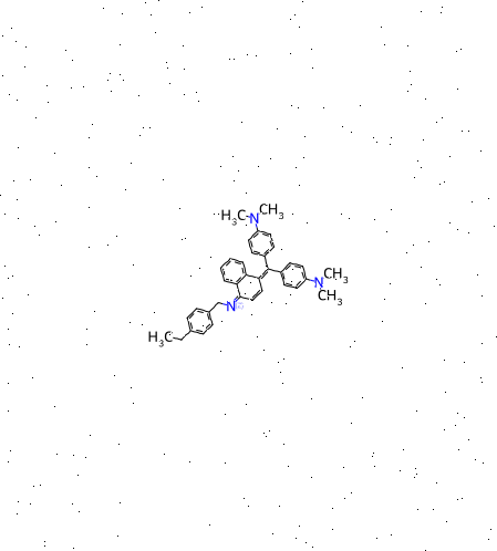 CCc1ccc(C/N=C2/C=CC(=C(c3ccc(N(C)C)cc3)c3ccc(N(C)C)cc3)c3ccccc32)cc1